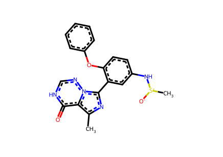 Cc1nc(-c2cc(N[S+](C)[O-])ccc2Oc2ccccc2)n2nc[nH]c(=O)c12